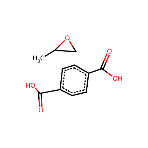 CC1CO1.O=C(O)c1ccc(C(=O)O)cc1